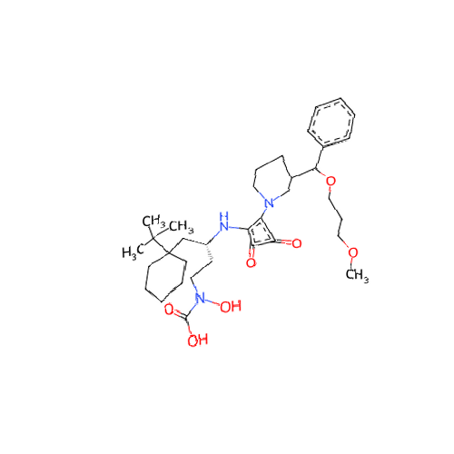 COCCCOC(c1ccccc1)C1CCCN(c2c(N[C@H](CCN(O)C(=O)O)CC3(C(C)(C)C)CCCCC3)c(=O)c2=O)C1